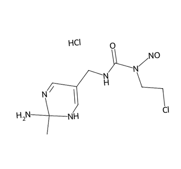 CC1(N)N=CC(CNC(=O)N(CCCl)N=O)=CN1.Cl